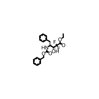 CCOC(=O)C(F)(F)[C@H](O)[C@H](Cc1ccccc1)NC(=O)OCc1ccccc1